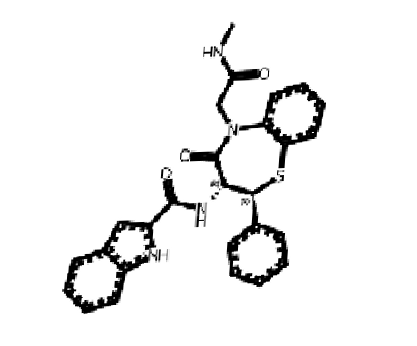 CNC(=O)CN1C(=O)[C@@H](NC(=O)c2cc3ccccc3[nH]2)[C@H](c2ccccc2)Sc2ccccc21